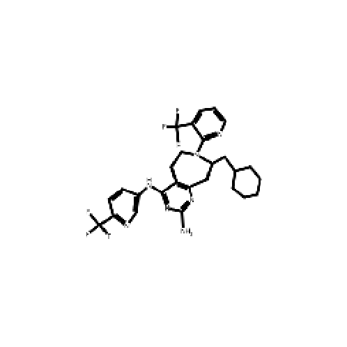 Nc1nc2c(c(Nc3ccc(C(F)(F)F)nc3)n1)CCN(c1ncccc1C(F)(F)F)C(CC1CCCCC1)C2